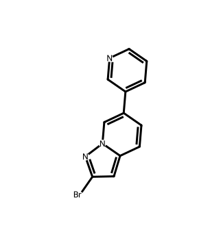 Brc1cc2ccc(-c3cccnc3)cn2n1